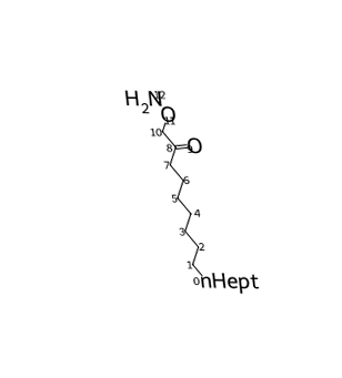 CCCCCCCCCCCCCCC(=O)CON